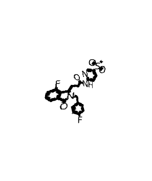 CS(=O)(=O)c1ccc(NC(=O)CCC2c3c(F)cccc3C(=O)N2Cc2ccc(F)cc2)nc1